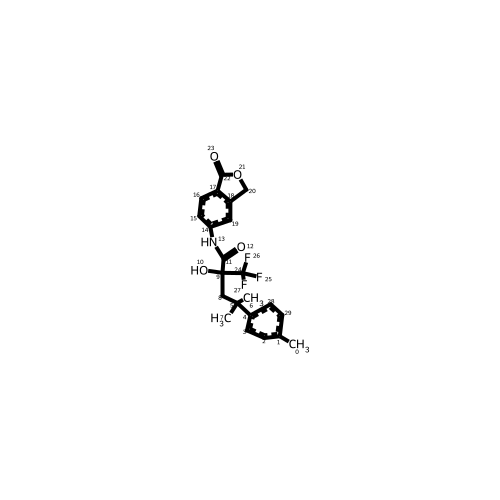 Cc1ccc(C(C)(C)CC(O)(C(=O)Nc2ccc3c(c2)COC3=O)C(F)(F)F)cc1